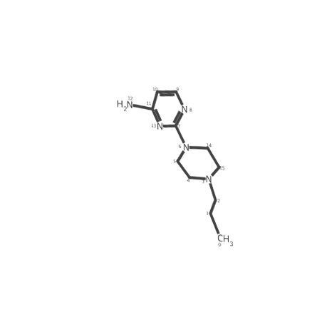 C[CH]CN1CCN(c2nccc(N)n2)CC1